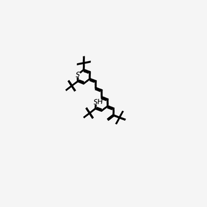 C=C(/C=C(\C=C(/S)C(C)(C)C)/C=C/C=C/C=C1C=C(C(C)(C)C)SC(C(C)(C)C)=C1)C(C)(C)C